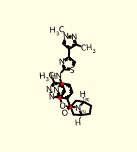 Cc1ccc(O[C@H]2C[C@H]3CC[C@@H](C2)N3C(=O)c2ccc(Nc3nc(-c4cn(C)nc4C)cs3)nc2)nn1